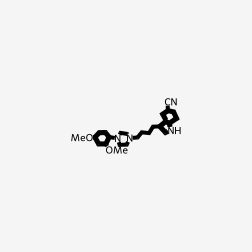 COc1ccc(N2CCN(CCCCc3c[nH]c4ccc(C#N)cc34)CC2)c(OC)c1